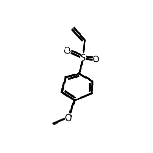 C=CS(=O)(=O)c1ccc(OC)cc1